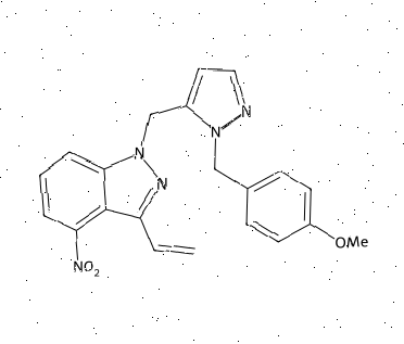 C=Cc1nn(Cc2ccnn2Cc2ccc(OC)cc2)c2cccc([N+](=O)[O-])c12